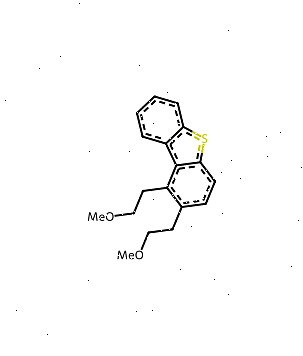 COCCc1ccc2sc3ccccc3c2c1CCOC